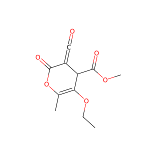 CCOC1=C(C)OC(=O)C(=C=O)C1C(=O)OC